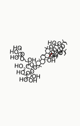 C/C=C(/C)C(=O)OC1[C@@H](OC(=O)/C(C)=C\C)C(C)O[C@@H](O[C@H]2[C@H](OC(C)=O)[C@@]3(CO)C(CC2(C)C)C2=CCC4[C@@]5(C)CC[C@H](O[C@H](OC(C(=O)O)[C@@H](O)CCO[C@@H]6O[C@@H](CO)C(O)[C@@H]6O)[C@H](C)O[C@@H]6OC(CO)[C@H](O)C(O)[C@@H]6O)C(C)(C)C5CC[C@@]4(C)[C@]2(C)[C@@H](O)[C@@H]3O)[C@H]1O